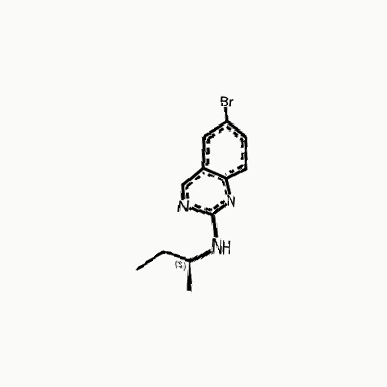 CC[C@H](C)Nc1ncc2cc(Br)ccc2n1